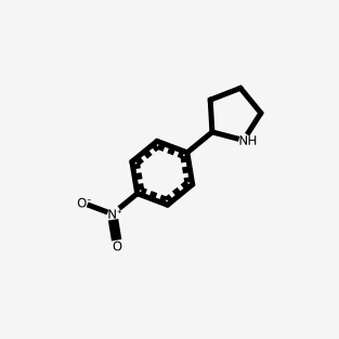 O=[N+]([O-])c1ccc(C2CCCN2)cc1